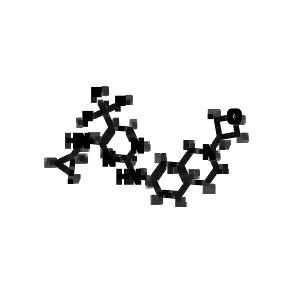 FC(F)(F)c1cnc(Nc2ccc3c(c2)CN(C2COC2)CC3)nc1NC1CC1